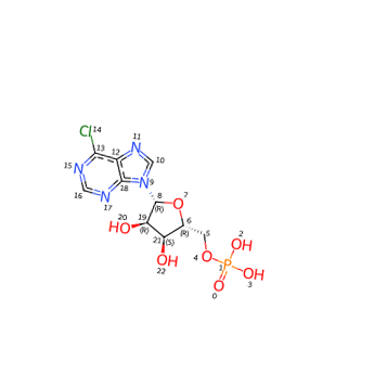 O=P(O)(O)OC[C@H]1O[C@@H](n2cnc3c(Cl)ncnc32)[C@H](O)[C@@H]1O